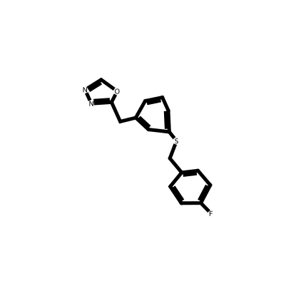 Fc1ccc(CSc2cccc(Cc3nnco3)c2)cc1